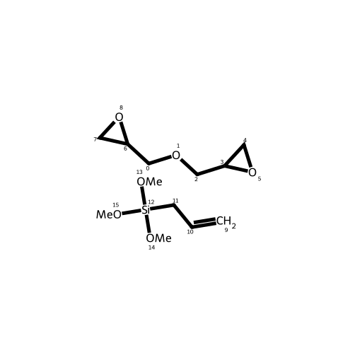 C(OCC1CO1)C1CO1.C=CC[Si](OC)(OC)OC